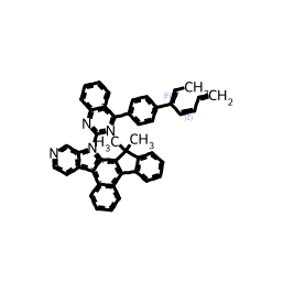 C=C/C=C\C(=C/C)c1ccc(-c2nc(-n3c4cnccc4c4c5ccccc5c5c(c43)C(C)(C)c3ccccc3-5)nc3ccccc23)cc1